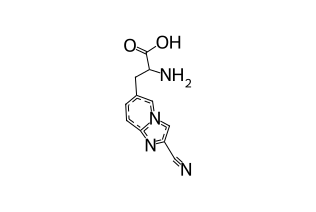 N#Cc1cn2cc(CC(N)C(=O)O)ccc2n1